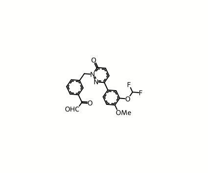 COc1ccc(-c2ccc(=O)n(Cc3cccc(C(=O)C=O)c3)n2)cc1OC(F)F